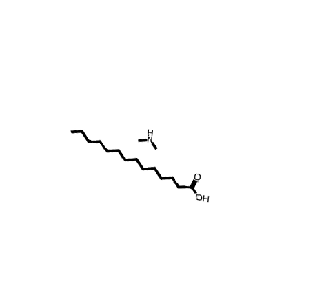 CCCCCCCCCCCCCC(=O)O.CNC